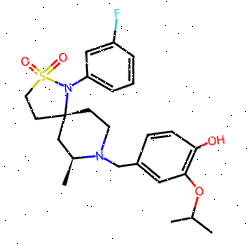 CC(C)Oc1cc(CN2CC[C@]3(CCS(=O)(=O)N3c3cccc(F)c3)C[C@@H]2C)ccc1O